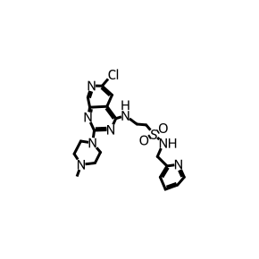 CN1CCN(c2nc(NCCS(=O)(=O)NCc3ccccn3)c3cc(Cl)ncc3n2)CC1